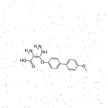 COc1ccc(-c2ccc(O/C(NN)=C(/N)C(=O)O)cc2)cc1